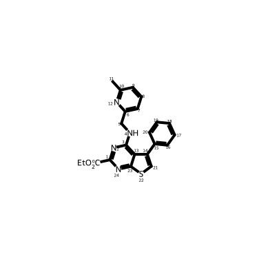 CCOC(=O)c1nc(NCc2cccc(C)n2)c2c(-c3ccccc3)csc2n1